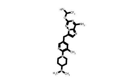 CCCC(Oc1nc(N)c2ncc(Cc3cnc(N4CCC(N(C)C)CC4)c(C)c3)n2n1)C(F)(F)F